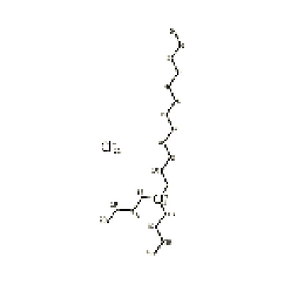 CCCCCCCCCCCC[O+](CCCC)CCCC.[Cl-]